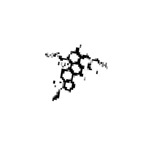 CCN(/C=C1/C(=O)O[C@H](COC)[C@]2(C)C3=C(C(=O)C(O)=C12)C1CC[C@H](OC=O)[C@@]1(C)C[C]3)CC